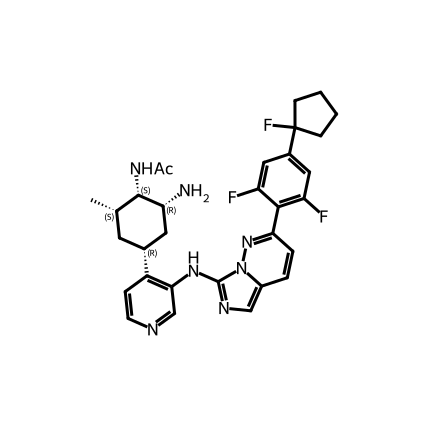 CC(=O)N[C@@H]1[C@H](N)C[C@H](c2ccncc2Nc2ncc3ccc(-c4c(F)cc(C5(F)CCCC5)cc4F)nn23)C[C@@H]1C